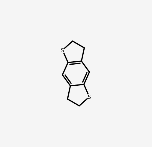 c1c2c(cc3c1SCC3)SCC2